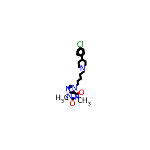 Cn1c(=O)c2c(ncn2CCCCCN2CCC(c3ccc(Cl)cc3)CC2)n(C)c1=O